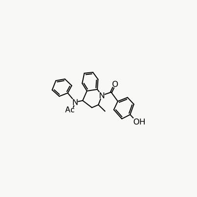 CC(=O)N(c1ccccc1)C1CC(C)N(C(=O)c2ccc(O)cc2)c2ccccc21